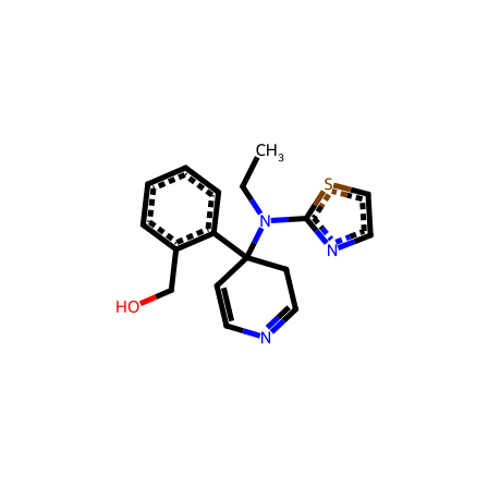 CCN(c1nccs1)C1(c2ccccc2CO)C=CN=CC1